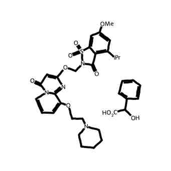 COc1cc(C(C)C)c2c(c1)S(=O)(=O)N(COc1cc(=O)n3cccc(OCCN4CCCCC4)c3n1)C2=O.O=C(O)C(O)c1ccccc1